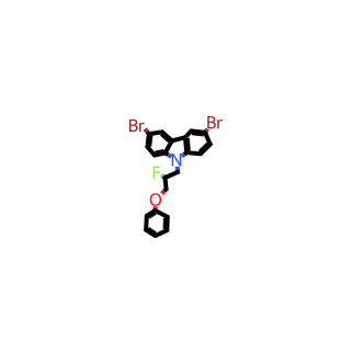 FC(COc1ccccc1)Cn1c2ccc(Br)cc2c2cc(Br)ccc21